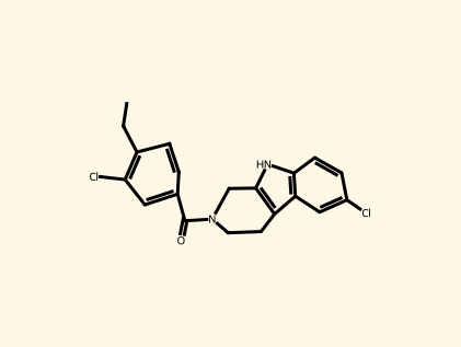 CCc1ccc(C(=O)N2CCc3c([nH]c4ccc(Cl)cc34)C2)cc1Cl